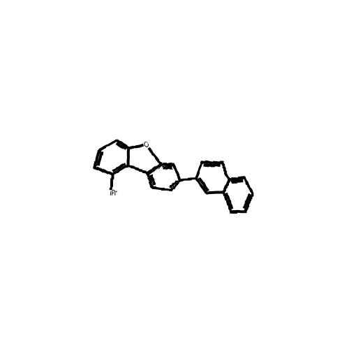 CC(C)c1cccc2oc3cc(-c4ccc5ccccc5c4)ccc3c12